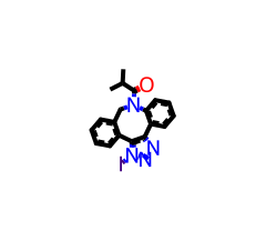 CC(C)C(=O)N1Cc2ccccc2-c2c(nnn2I)-c2ccccc21